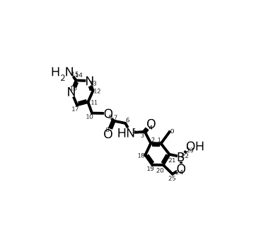 Cc1c(C(=O)NCC(=O)OCc2cnc(N)nc2)ccc2c1B(O)OC2